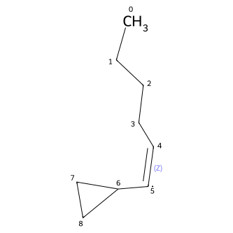 CCCC/C=[C]\C1CC1